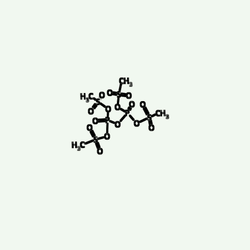 CS(=O)(=O)OP(=O)(OP(=O)(OS(C)(=O)=O)OS(C)(=O)=O)OS(C)(=O)=O